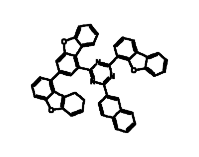 C1=Cc2oc3cccc(-c4cc(-c5nc(-c6ccc7ccccc7c6)nc(-c6cccc7c6oc6ccccc67)n5)c5c(c4)oc4ccccc45)c3c2CC1